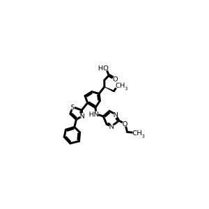 CCOc1ncc(Nc2cc([C@H](CC)CC(=O)O)ccc2-c2nc(-c3ccccc3)cs2)cn1